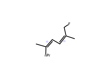 CCC/C(C)=C\C=C(\C)CF